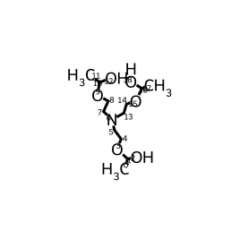 CC(O)OCCN(CCOC(C)O)CCOC(C)O